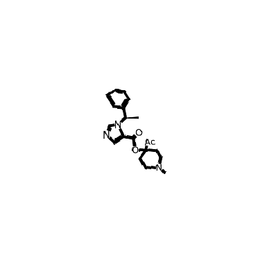 CC(=O)C1(OC(=O)c2cncn2[C@H](C)c2ccccc2)CCN(C)CC1